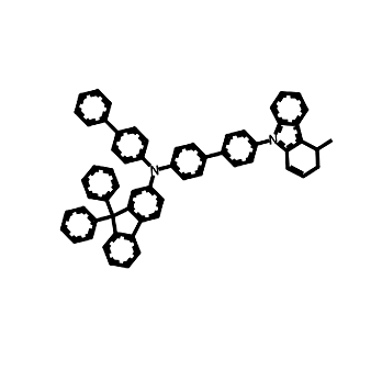 CC1CC=Cc2c1c1ccccc1n2-c1ccc(-c2ccc(N(c3ccc(-c4ccccc4)cc3)c3ccc4c(c3)C(c3ccccc3)(c3ccccc3)c3ccccc3-4)cc2)cc1